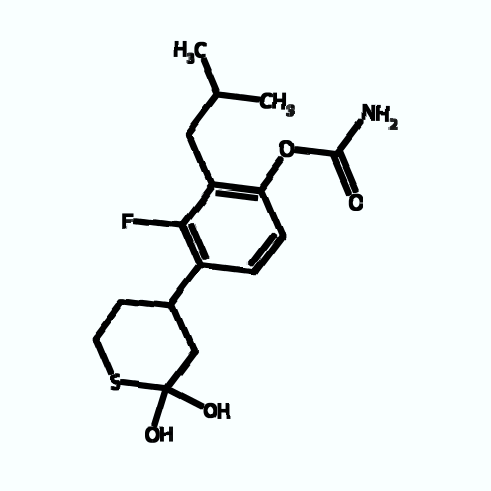 CC(C)Cc1c(OC(N)=O)ccc(C2CCSC(O)(O)C2)c1F